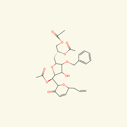 C=CCC1C=CC(=O)C([C@@H](OC(C)=O)C2OC(C[C@H](COC(C)=O)OC(C)=O)C(OCc3ccccc3)C2O)O1